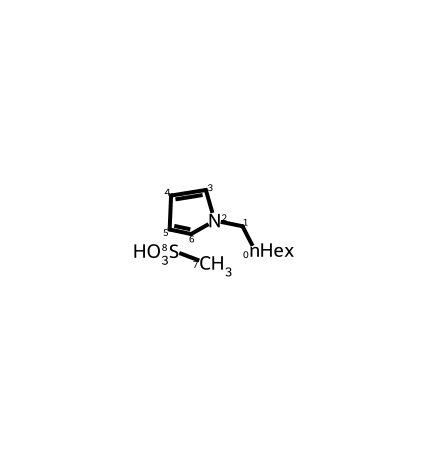 CCCCCCCn1cccc1.CS(=O)(=O)O